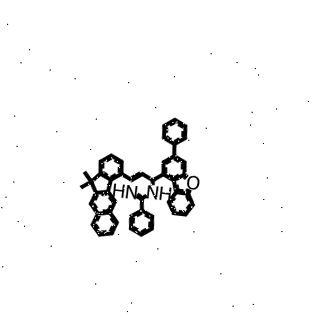 CC1(C)c2cc3ccccc3cc2-c2c(/C=C/C(NC(=N)c3ccccc3)c3cc(-c4ccccc4)cc4oc5ccccc5c34)cccc21